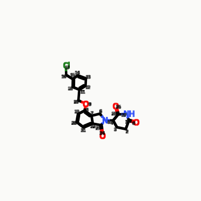 O=C1CCC(N2Cc3c(OCc4cccc(CCl)c4)cccc3C2=O)C(=O)N1